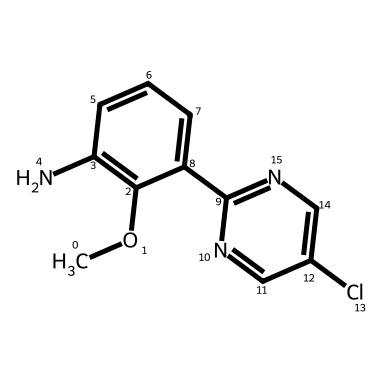 COc1c(N)cccc1-c1ncc(Cl)cn1